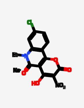 CCn1c(=O)c2c(O)c([N+](=O)[O-])c(=O)oc2c2ccc(Cl)cc21.[Na]